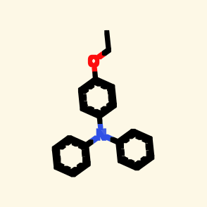 CCOc1ccc(N(c2ccccc2)c2ccccc2)cc1